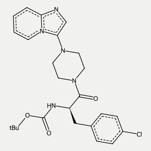 CC(C)(C)OC(=O)N[C@H](Cc1ccc(Cl)cc1)C(=O)N1CCN(c2cnc3ccccn23)CC1